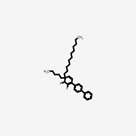 CCCCCCCCCCCCC1(CCCCC)C=CC(c2ccc(-c3ccccc3)cc2)=C(F)C1F